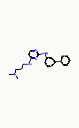 CN(C)CCCNc1ccnc(Nc2cccc(-c3ccccc3)c2)n1